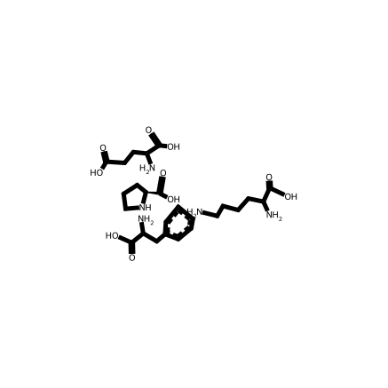 NC(CCC(=O)O)C(=O)O.NC(Cc1ccccc1)C(=O)O.NCCCCC(N)C(=O)O.O=C(O)[C@@H]1CCCN1